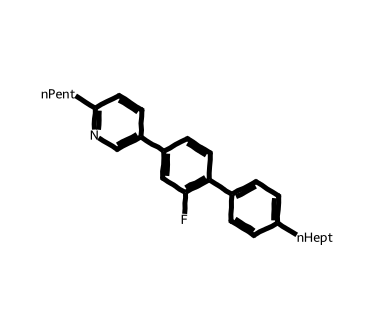 CCCCCCCc1ccc(-c2ccc(-c3ccc(CCCCC)nc3)cc2F)cc1